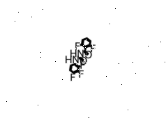 O=C(NC(=O)c1c(F)cccc1F)Nc1ccc(F)c(F)c1F